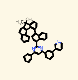 CC1(C)c2cccc(-c3ccc(-c4nc(-c5ccccc5)cc(-c5cccc(-c6cccnc6)c5)n4)c4ccccc34)c2-c2c1ccc1ccccc21